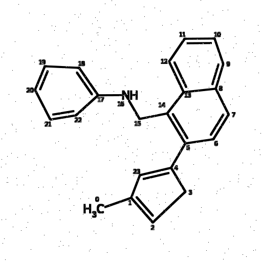 CC1=CCC(c2ccc3ccccc3c2CNc2ccccc2)=C1